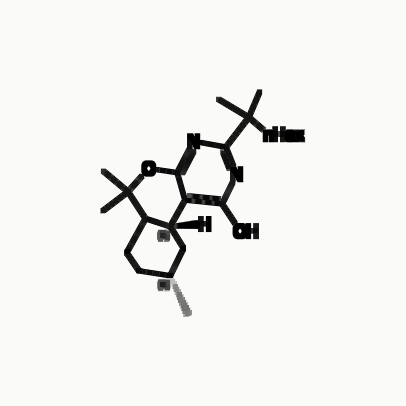 CCCCCCC(C)(C)c1nc(O)c2c(n1)OC(C)(C)C1CC[C@@H](C)C[C@@H]21